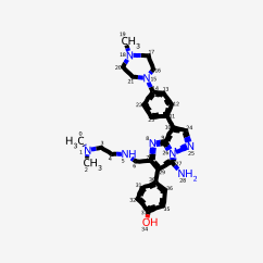 CN(C)CCNCc1nc2c(-c3ccc(N4CCN(C)CC4)cc3)cnn2c(N)c1-c1ccc(O)cc1